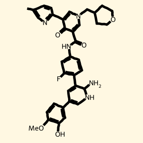 COc1ccc(C2=CNC(N)C(c3ccc(NC(=O)c4cn(CC5CCOCC5)cc(-c5ccc(C)cn5)c4=O)cc3F)=C2)cc1O